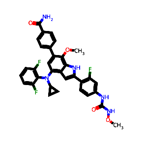 CONC(=O)Nc1ccc(-c2cc3c(N(c4c(F)cccc4F)C4CC4)cc(-c4ccc(C(N)=O)cc4)c(OC)c3[nH]2)c(F)c1